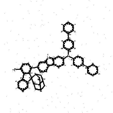 Fc1ccc(-c2ccc3c(c2)oc2cc(N(c4ccc(-c5ccccc5)cc4)c4ccc(-c5ccccc5)cc4)ccc23)c2c1-c1ccccc1C21C2CC3CC(C2)CC1C3